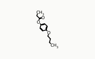 CCCCOc1ccc(OC(=O)CC)cc1